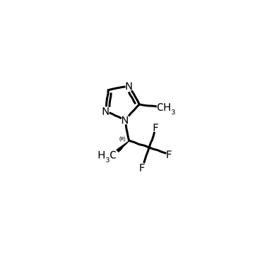 Cc1ncnn1[C@H](C)C(F)(F)F